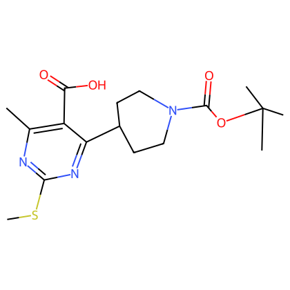 CSc1nc(C)c(C(=O)O)c(C2CCN(C(=O)OC(C)(C)C)CC2)n1